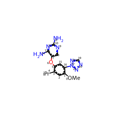 COc1cc(C(C)C)c(Oc2cnc(N)nc2N)cc1-n1ncnn1